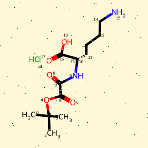 CC(C)(C)OC(=O)C(=O)N[C@@H](CCCCN)C(=O)O.Cl